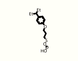 CCC(CC)c1ccc(OCCCSOOO)cc1